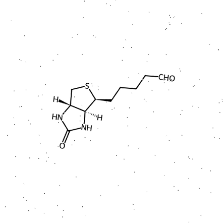 O=CCCCC[C@@H]1SC[C@H]2NC(=O)N[C@H]12